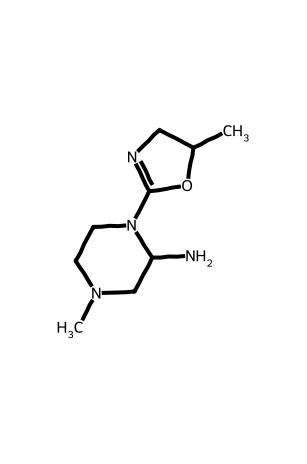 CC1CN=C(N2CCN(C)CC2N)O1